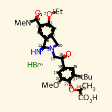 Br.CCOc1cc2c(cc1C(=O)NC)C(=N)N(CC(=O)c1cc(OC)c(OC(C)C(=O)O)c(C(C)(C)C)c1)C2